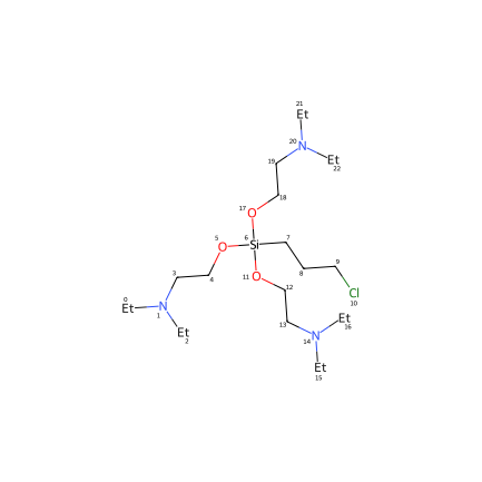 CCN(CC)CCO[Si](CCCCl)(OCCN(CC)CC)OCCN(CC)CC